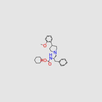 C1CCCCC1.COc1ccccc1C1CCN(C[C@@H](Cc2ccccc2)NC(=O)O)CC1